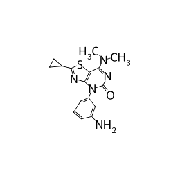 CN(C)c1nc(=O)n(-c2cccc(N)c2)c2nc(C3CC3)sc12